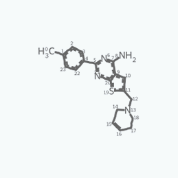 Cc1ccc(-c2nc(N)c3cc(CN4CC=CCC4)sc3n2)cc1